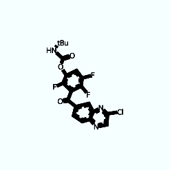 CC(C)(C)NC(=O)Oc1cc(F)c(F)c(C(=O)c2ccc3ncc(Cl)nc3c2)c1F